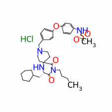 CCCCN1C(=O)[C@H](CC2CCCCC2)NC2(CCN(Cc3ccc(Oc4ccc(NS(C)(=O)=O)cc4)cc3)CC2)C1=O.Cl